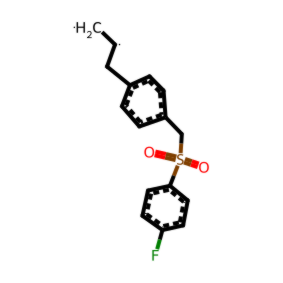 [CH2][CH]Cc1ccc(CS(=O)(=O)c2ccc(F)cc2)cc1